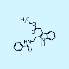 CCOC(=O)Cc1c(CCNC(=O)c2ccccc2)[nH]c2ccccc12